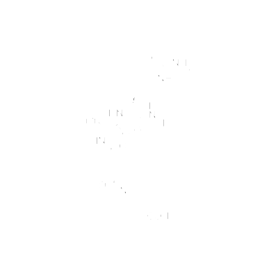 CC(C)NC(=O)[C@H](CCCNC(N)=O)NC(=O)[C@@H](NC(=O)CCC(=O)N1CCC(C(=O)O)CC1)C(C)C